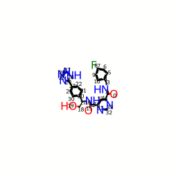 O=C(NCc1ccc(F)cc1)c1cc(C(=O)N[C@@H](CO)c2ccc(-c3nnn[nH]3)cc2)ncn1